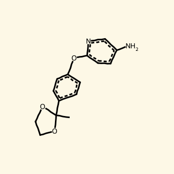 CC1(c2ccc(Oc3ccc(N)cn3)cc2)OCCO1